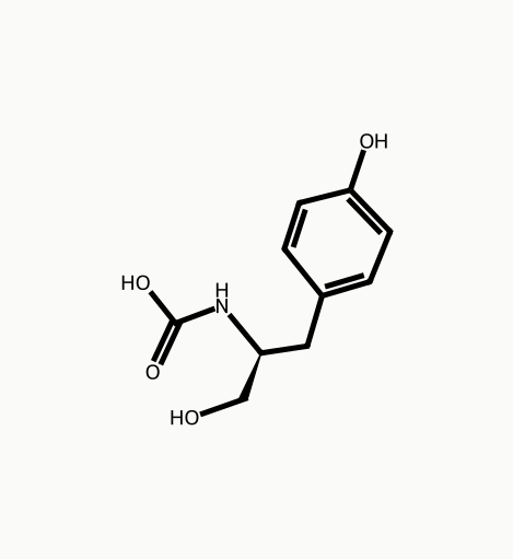 O=C(O)N[C@H](CO)Cc1ccc(O)cc1